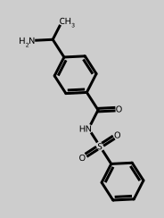 CC(N)c1ccc(C(=O)NS(=O)(=O)c2ccccc2)cc1